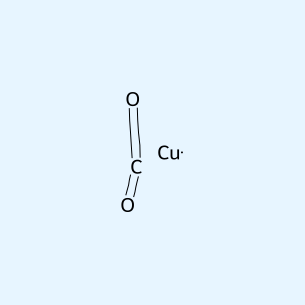 O=C=O.[Cu]